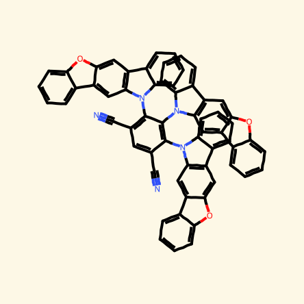 N#Cc1cc(C#N)c(-n2c3ccccc3c3cc4oc5ccccc5c4cc32)c(-n2c3ccccc3c3cc4oc5ccccc5c4cc32)c1-n1c2ccccc2c2cc3oc4ccccc4c3cc21